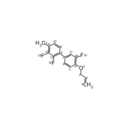 C=CCOc1ccc(-c2ccc(C)c(F)c2F)cc1F